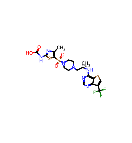 Cc1nc(NC(=O)O)sc1S(=O)(=O)N1CCN(C[C@H](C)Nc2ncnc3c(C(F)(F)F)csc23)CC1